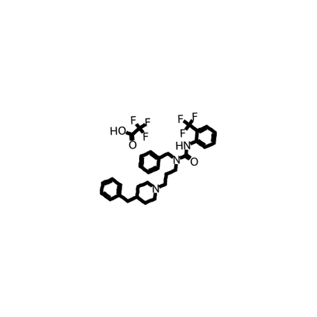 O=C(Nc1ccccc1C(F)(F)F)N(CCCN1CCC(Cc2ccccc2)CC1)Cc1ccccc1.O=C(O)C(F)(F)F